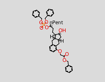 CCCCC[C@@H](CC[C@@H]1[C@H]2Cc3cccc(OCC(=O)OCc4ccccc4)c3C[C@H]2C[C@H]1O)OP(=O)(OCc1ccccc1)OCc1ccccc1